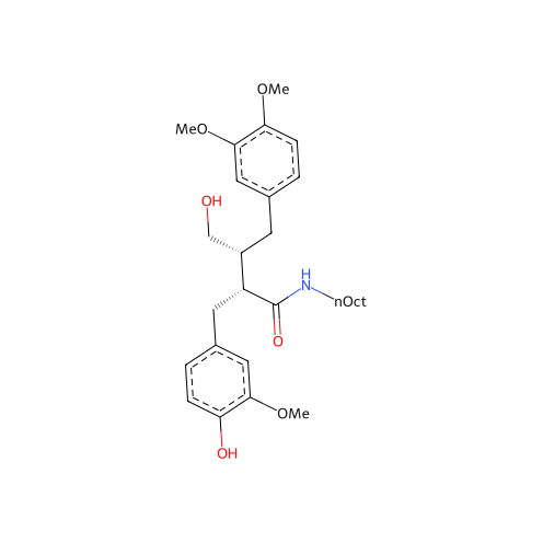 CCCCCCCCNC(=O)[C@H](Cc1ccc(O)c(OC)c1)[C@H](CO)Cc1ccc(OC)c(OC)c1